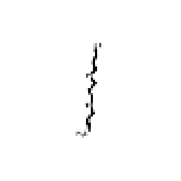 NCCCNC[CH]CNCCCN